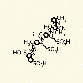 Cc1cc(N=Nc2cc(OCCCS(=O)(=O)O)c(N=Nc3c(C)c(C#N)c4nc5c(C)cccc5n4c3O)cc2C)c(SCCCS(=O)(=O)O)cc1N=Nc1nc2c(S(=O)(=O)O)cc3ccc(S(=O)(=O)O)cc3c2s1